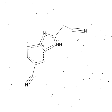 N#CCc1nc2ccc(C#N)cc2[nH]1